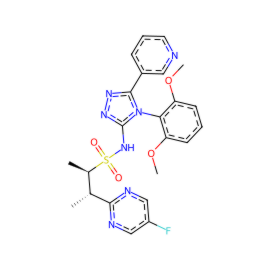 COc1cccc(OC)c1-n1c(NS(=O)(=O)[C@H](C)[C@@H](C)c2ncc(F)cn2)nnc1-c1cccnc1